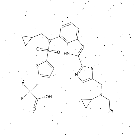 CC(C)CN(Cc1cnc(-c2cc3cccc(N(CC4CC4)S(=O)(=O)c4cccs4)c3[nH]2)s1)C1CC1.O=C(O)C(F)(F)F